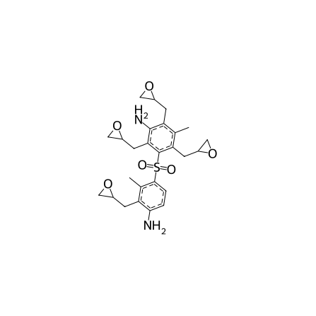 Cc1c(S(=O)(=O)c2c(CC3CO3)c(C)c(CC3CO3)c(N)c2CC2CO2)ccc(N)c1CC1CO1